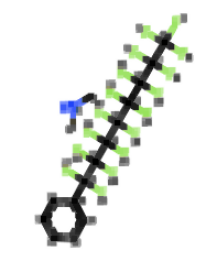 CNC.FC(F)(F)C(F)(F)C(F)(F)C(F)(F)C(F)(F)C(F)(F)C(F)(F)C(F)(F)c1ccccc1